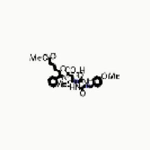 COC(=O)CCCC(=O)C(N[C@@H](C/C(SC)=c1/[nH]c(=O)/c(=C/c2ccc(OC)cc2)[nH]c1=O)C(=O)O)c1ccccc1